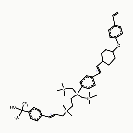 C=Cc1ccc(OC2CCC(/C=C/c3ccc([Si](CC[Si](C)(C)C/C=C/c4ccc(C(O)(C(F)(F)F)C(F)(F)F)cc4)(C[Si](C)(C)C)C[Si](C)(C)C)cc3)CC2)cc1